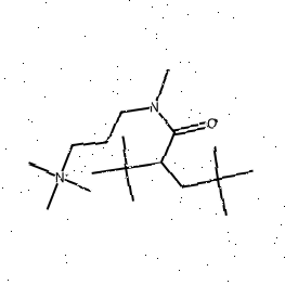 CN(CCC[N+](C)(C)C)C(=O)C(CC(C)(C)C)C(C)(C)C